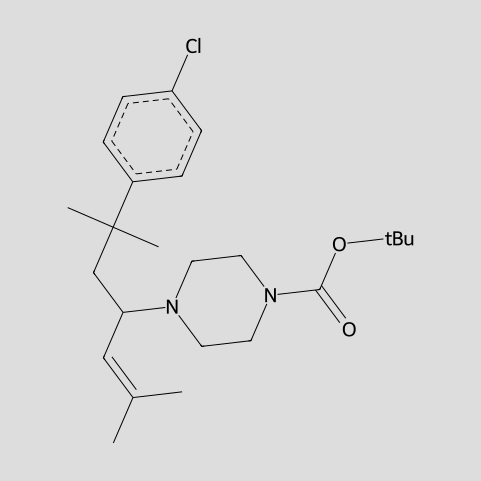 CC(C)=CC(CC(C)(C)c1ccc(Cl)cc1)N1CCN(C(=O)OC(C)(C)C)CC1